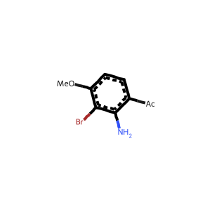 COc1ccc(C(C)=O)c(N)c1Br